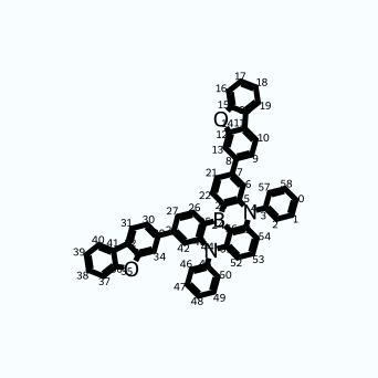 c1ccc(N2c3cc(-c4ccc5c(c4)oc4ccccc45)ccc3B3c4ccc(-c5ccc6c(c5)oc5ccccc56)cc4N(c4ccccc4)c4cccc2c43)cc1